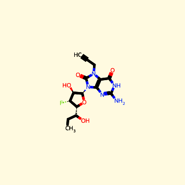 C#CCn1c(=O)n([C@@H]2O[C@H](C(O)CC)[C@H](F)[C@H]2O)c2nc(N)[nH]c(=O)c21